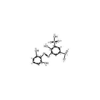 O=[N+]([O-])c1cc(N=Nc2c(O)cccc2O)c(O)c(S(=O)(=O)O)c1